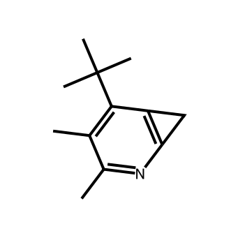 Cc1nc2c(c(C(C)(C)C)c1C)C2